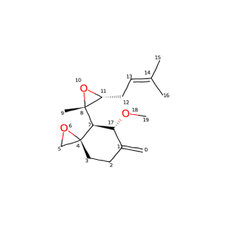 C=C1CC[C@]2(CO2)[C@@H]([C@]2(C)O[C@@H]2CC=C(C)C)[C@@H]1OC